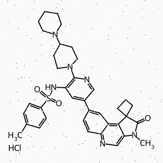 Cc1ccc(S(=O)(=O)Nc2cc(-c3ccc4ncc5c(c4c3)C3(CCC3)C(=O)N5C)cnc2N2CCC(N3CCCCC3)CC2)cc1.Cl